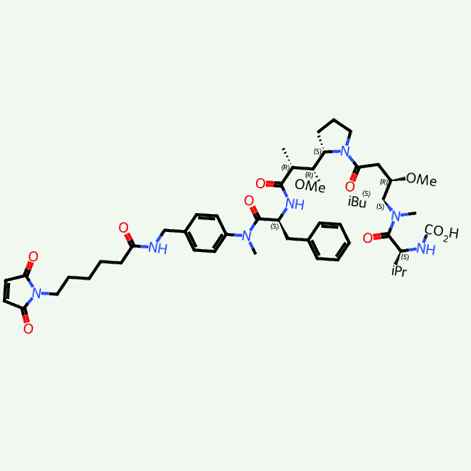 CC[C@H](C)[C@@H]([C@@H](CC(=O)N1CCC[C@H]1[C@H](OC)[C@@H](C)C(=O)N[C@@H](Cc1ccccc1)C(=O)N(C)c1ccc(CNC(=O)CCCCCN2C(=O)C=CC2=O)cc1)OC)N(C)C(=O)[C@@H](NC(=O)O)C(C)C